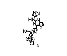 CCS(=O)(=O)N1CC(CC#N)(n2cc(-c3nc(Nc4cncnc4)nc4ccsc34)cn2)C1